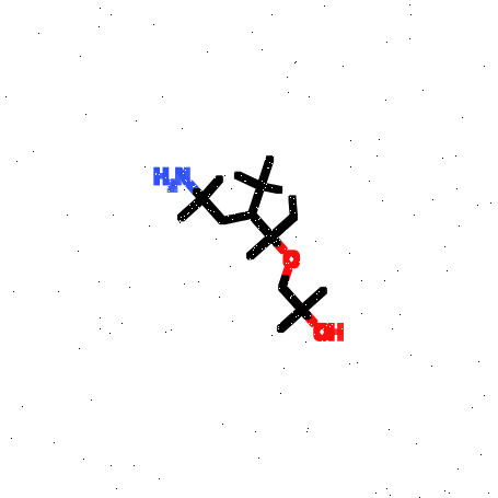 CCC(C)(OCC(C)(C)O)C(CC(C)(C)N)C(C)(C)C